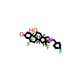 C[C@]12C=CC(=O)C=C1[C@@H](F)C[C@H]1[C@@H]3C[C@H]4CN(Cc5ccc(F)cc5)C[C@@]4(C(=O)CF)[C@@]3(C)C[C@H](O)[C@@]12F